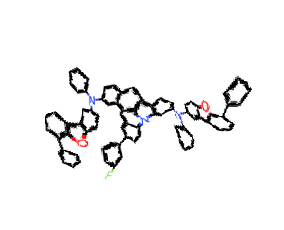 Fc1cccc(-c2ccc3c(c2)c2c4cc(N(c5ccccc5)c5ccc6oc7c(-c8ccccc8)cccc7c6c5)ccc4cc4c5ccc(N(c6ccccc6)c6ccc7oc8c(-c9ccccc9)cccc8c7c6)cc5n3c42)c1